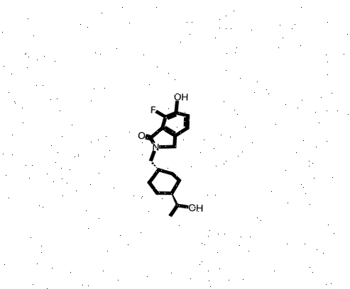 CC(O)[C@H]1CC[C@H](CN2Cc3ccc(O)c(F)c3C2=O)CC1